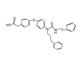 O=C(O)Cc1ccc(Sc2ccc(N(CCCc3ccccc3)C(=O)NCCc3ccccc3)cc2)cc1